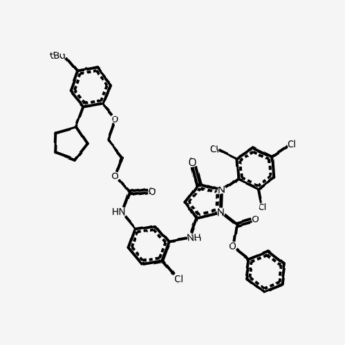 CC(C)(C)c1ccc(OCCOC(=O)Nc2ccc(Cl)c(Nc3cc(=O)n(-c4c(Cl)cc(Cl)cc4Cl)n3C(=O)Oc3ccccc3)c2)c(C2CCCC2)c1